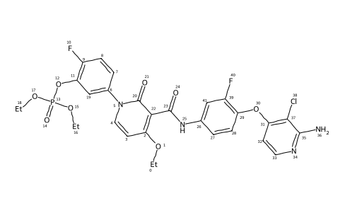 CCOc1ccn(-c2ccc(F)c(OP(=O)(OCC)OCC)c2)c(=O)c1C(=O)Nc1ccc(Oc2ccnc(N)c2Cl)c(F)c1